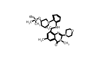 Cc1cc([C@@H](C)Nc2ccccc2N2CCC[C@@H](O[Si](C)(C)C(C)(C)C)C2)c2nc(N3CCOCC3)n(C)c(=O)c2c1